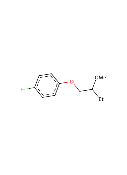 [CH2]CC(COc1ccc(F)cc1)OC